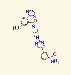 Cc1ccc(-n2nccn2)c(C(=O)N2CC3CN(c4ncc(-c5cccc(C(N)=O)c5)cn4)CC3C2)c1